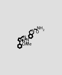 COc1ccccc1-c1ccc2cnc(Nc3ccc4c(c3)CCN(CC(N)=O)C4)nn12